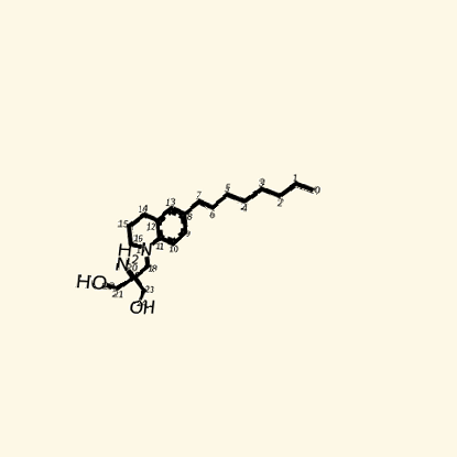 CCCCCCCCc1ccc2c(c1)CCCN2CC(N)(CO)CO